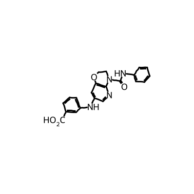 O=C(O)c1cccc(Nc2cnc3c(c2)OCCN3C(=O)Nc2ccccc2)c1